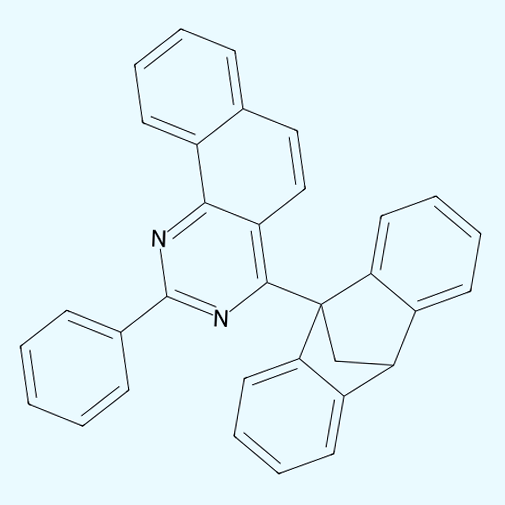 c1ccc(-c2nc(C34CC(c5ccccc53)c3ccccc34)c3ccc4ccccc4c3n2)cc1